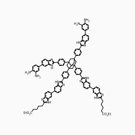 CCOC(=O)CCCCc1nc2ccc(-c3ccc4nc(-c5ccc(C67CC8(c9ccc(-c%10nc%11ccc(-c%12ccc(N)c(N)c%12)cc%11[nH]%10)cc9)CC(c9ccc(-c%10nc%11ccc(-c%12ccc(N)c(N)c%12)cc%11[nH]%10)cc9)(C6)CC(c6ccc(-c9nc%10ccc(-c%11ccc%12nc(CCCCC(=O)OCC)[nH]c%12c%11)cc%10[nH]9)cc6)(C8)C7)cc5)[nH]c4c3)cc2[nH]1